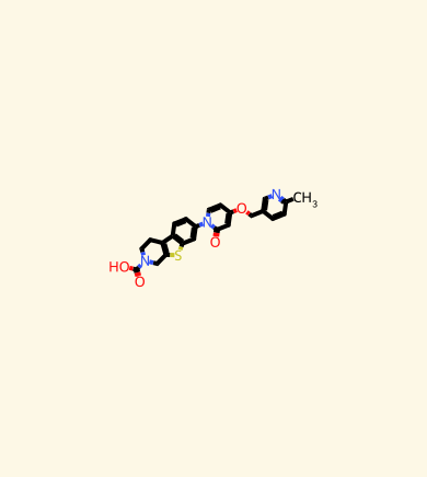 Cc1ccc(COc2ccn(-c3ccc4c5c(sc4c3)CN(C(=O)O)CC5)c(=O)c2)cn1